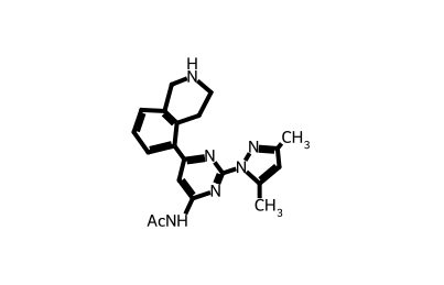 CC(=O)Nc1cc(-c2cccc3c2CCNC3)nc(-n2nc(C)cc2C)n1